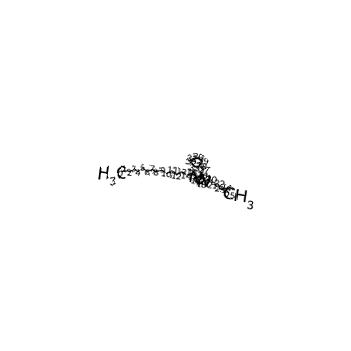 CCCCCCCCCCCCCCCC[n+]1ccn(CCCCCC)c1Cc1ccccc1